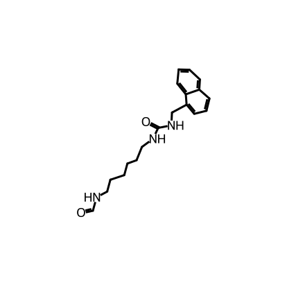 O=CNCCCCCCNC(=O)NCc1cccc2ccccc12